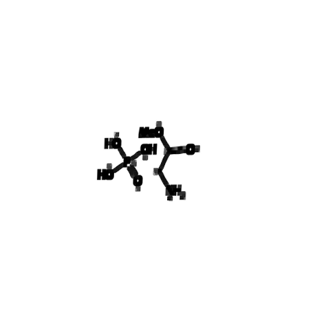 COC(=O)CN.O=P(O)(O)O